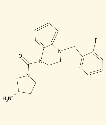 N[C@H]1CCN(C(=O)N2CCN(Cc3ccccc3F)c3ccccc32)C1